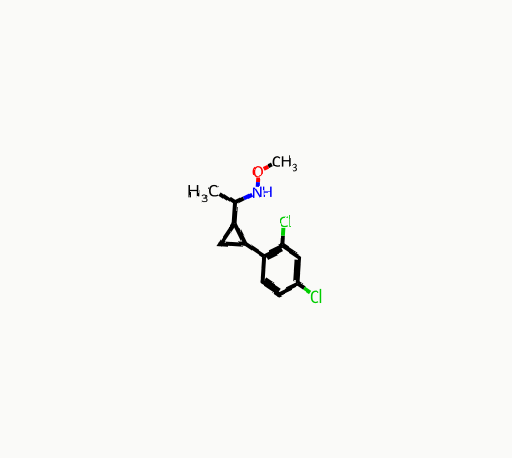 CONC(C)C1CC1c1ccc(Cl)cc1Cl